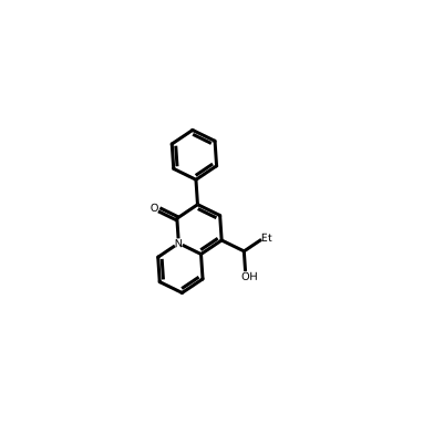 CCC(O)c1cc(-c2ccccc2)c(=O)n2ccccc12